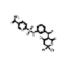 CCCC1(CCC)CC(O)=C(C(CC)c2cccc(NS(=O)(=O)c3ccc(C(N)=O)cn3)c2)C(=O)O1